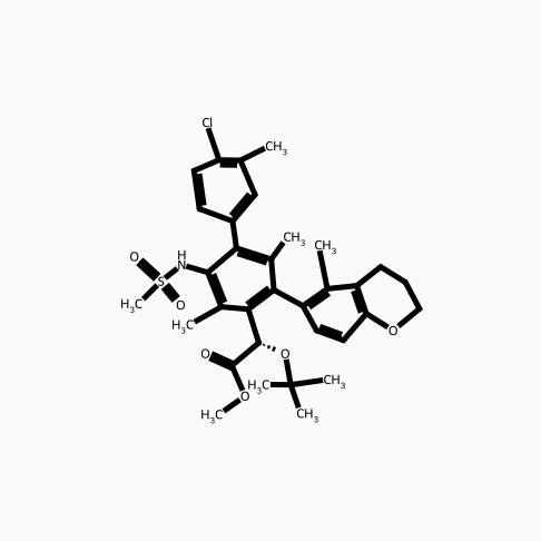 COC(=O)[C@@H](OC(C)(C)C)c1c(C)c(NS(C)(=O)=O)c(-c2ccc(Cl)c(C)c2)c(C)c1-c1ccc2c(c1C)CCCO2